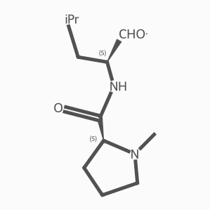 CC(C)C[C@@H]([C]=O)NC(=O)[C@@H]1CCCN1C